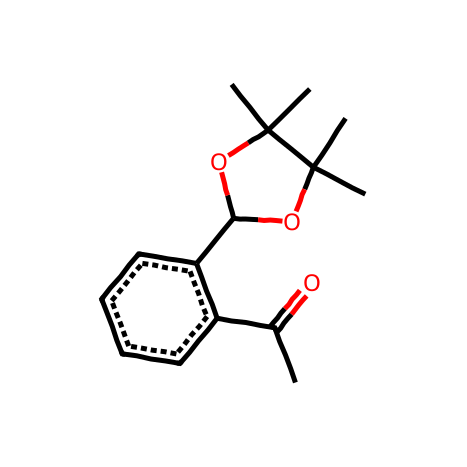 CC(=O)c1ccccc1C1OC(C)(C)C(C)(C)O1